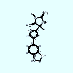 CN1C(=N)NC(C)(c2cc(-c3ccc4c(c3)OCO4)cs2)C1=O